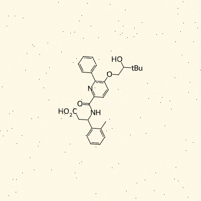 Cc1ccccc1C(CC(=O)O)NC(=O)c1ccc(OCC(O)C(C)(C)C)c(-c2ccccc2)n1